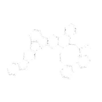 C=C1CC2C(CCc3ccccc3-c3cccc[n+]31)c1cc3c(cc1-c1cccc[n+]12)c1cccc2c4cc5c(cc4n3c12)oc1ccccc15